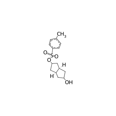 Cc1ccc(S(=O)(=O)OC2C[C@H]3CC(O)C[C@H]3C2)cc1